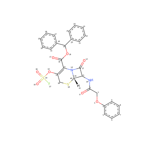 O=C(COc1ccccc1)NC1C(=O)N2C(C(=O)OC(c3ccccc3)c3ccccc3)=C(OS(=O)(=O)F)CS[C@@H]12